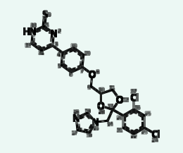 S=c1nc(-c2ccc(OCC3COC(Cn4ccnc4)(c4ccc(Cl)cc4Cl)O3)cc2)cc[nH]1